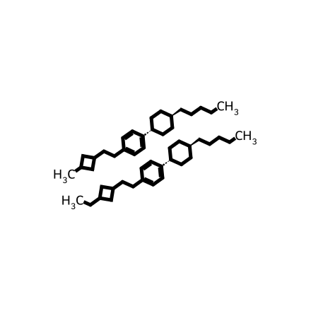 CCCCC[C@H]1CC[C@H](c2ccc(CCC3CC(C)C3)cc2)CC1.CCCCC[C@H]1CC[C@H](c2ccc(CCC3CC(CC)C3)cc2)CC1